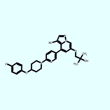 CC(C)(O)COc1cc(-c2ccc(N3CCC(Oc4ccc(Cl)cc4)CC3)nc2)c2c(C#N)cnn2c1